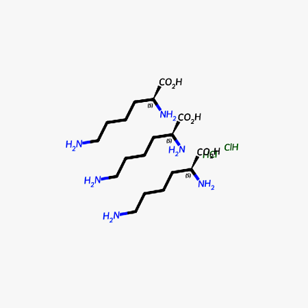 Cl.Cl.NCCCC[C@H](N)C(=O)O.NCCCC[C@H](N)C(=O)O.NCCCC[C@H](N)C(=O)O